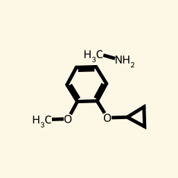 CN.COc1ccccc1OC1CC1